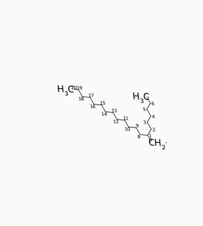 [CH2]C(CCCCCC)CCCCCCCCCCCCC